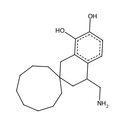 NCC1CC2(CCCCCCCC2)Cc2c1ccc(O)c2O